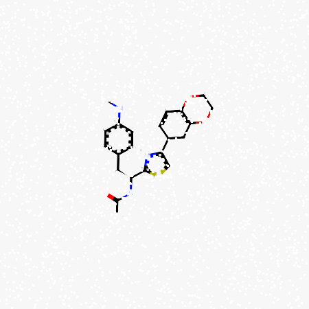 CC(C)(C)C(=O)N[C@@H](Cc1ccc(NS(=O)(=O)O)cc1)c1nc(C2C=CC3=C(C2)OCCO3)cs1